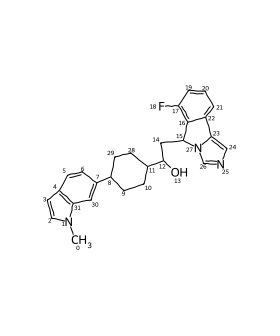 Cn1ccc2ccc(C3CCC(C(O)CC4c5c(F)cccc5-c5cncn54)CC3)cc21